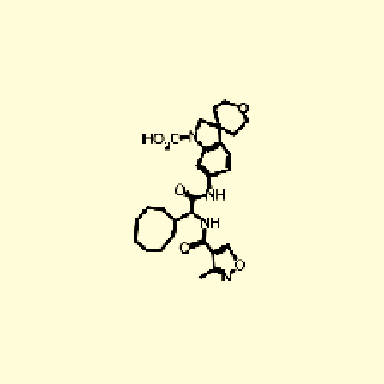 Cc1nocc1C(=O)NC(C(=O)Nc1ccc2c(c1)N(C(=O)O)CC21CCOCC1)C1CCCCCCC1